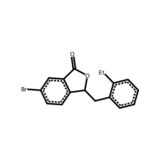 CCc1ccccc1CC1OC(=O)c2cc(Br)ccc21